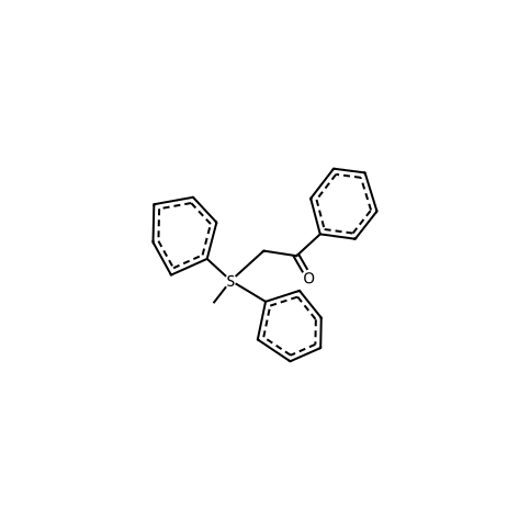 CS(CC(=O)c1ccccc1)(c1ccccc1)c1ccccc1